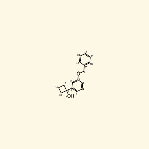 OC1(c2cccc(OCc3ccccc3)c2)CCC1